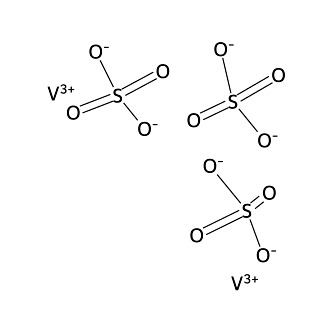 O=S(=O)([O-])[O-].O=S(=O)([O-])[O-].O=S(=O)([O-])[O-].[V+3].[V+3]